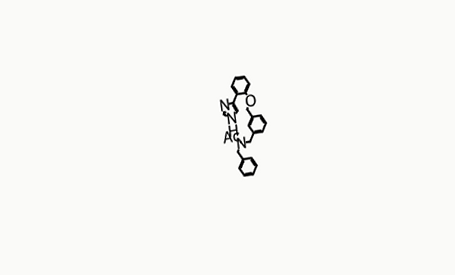 CC(=O)N(Cc1ccccc1)Cc1cccc(COc2ccccc2-c2c[nH]cn2)c1